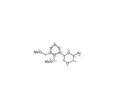 COCc1cccc(C2COCC(C(C)=O)O2)c1COC